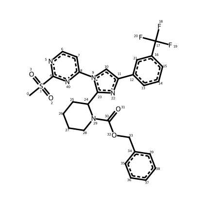 CS(=O)(=O)c1nccc(-n2cc(-c3cccc(C(F)(F)F)c3)nc2C2CCCCN2C(=O)OCc2ccccc2)n1